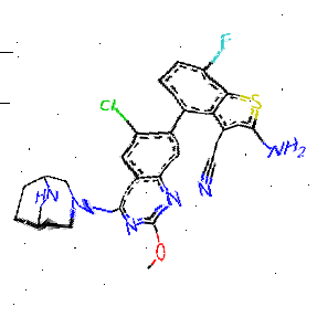 COc1nc(N2CC3CCC(C2)N3)c2cc(Cl)c(-c3ccc(F)c4sc(N)c(C#N)c34)cc2n1